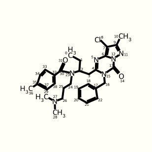 CCC(Cc1nc2c(Cl)c(C)nn2c(=O)n1Cc1ccccc1)N(CCCN(C)C)C(=O)c1ccc(C)cc1